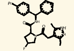 Cc1n[nH]c(C)c1CC(=O)N1CC(F)CC1C(=O)NC(c1ccccc1)c1ccc(C(C)C)cc1